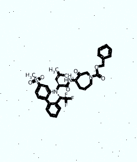 CC(C)C[C@H](N[C@@H](c1ccccc1-c1ccc(S(C)(=O)=O)cc1)C(F)(F)F)C(=O)NC1CCCN(C(=O)OCc2ccccc2)CC1=O